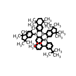 Cc1cc2c3c(c1)N(c1ccc(C(C)(C)C)cc1-c1ccccc1)c1cc4c(cc1B3c1cc3c(cc1N2c1cc2c(cc1C)C(C)(C)CC2(C)C)C(C)(C)CCC3(C)C)C(C)(C)CC4(C)C